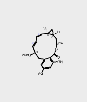 CO[C@H]1/C=C/C=C\[C@H]2C[C@@H]2C[C@@H](C)OC(=O)c2c(O)cc(O)cc2C1